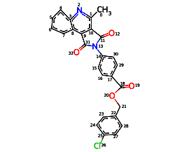 Cc1nc2ccccc2c2c1C(=O)N(c1ccc(C(=O)OCc3ccc(Cl)cc3)cc1)C2=O